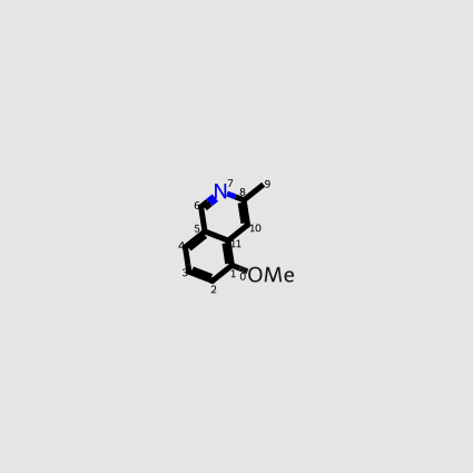 COc1cccc2cnc(C)cc12